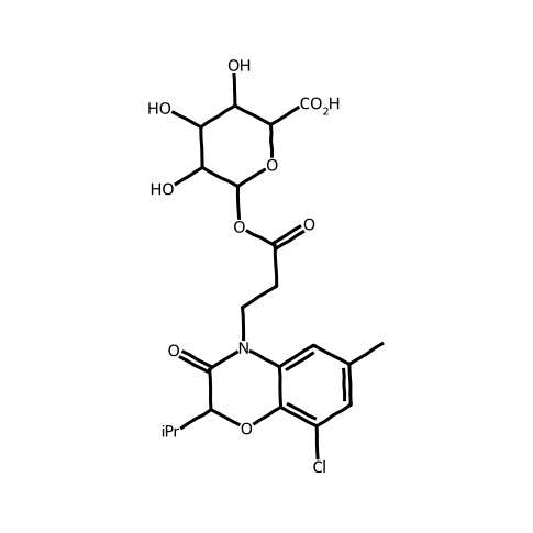 Cc1cc(Cl)c2c(c1)N(CCC(=O)OC1OC(C(=O)O)C(O)C(O)C1O)C(=O)C(C(C)C)O2